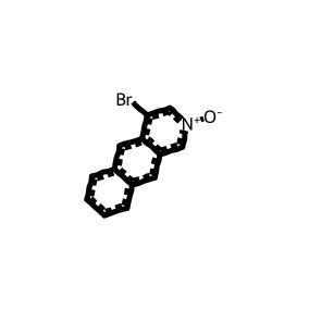 [O-][n+]1cc(Br)c2cc3ccccc3cc2c1